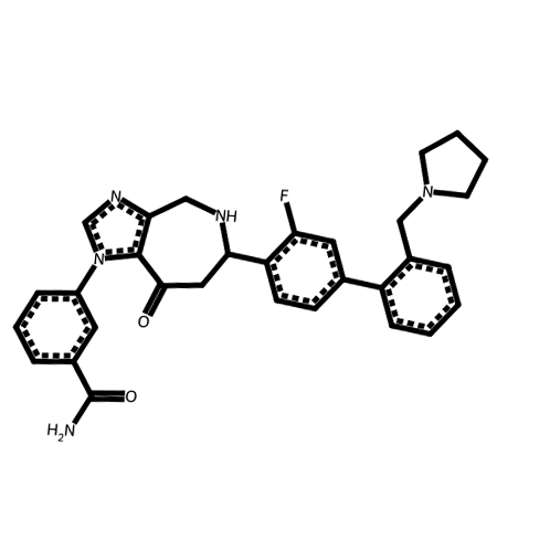 NC(=O)c1cccc(-n2cnc3c2C(=O)CC(c2ccc(-c4ccccc4CN4CCCC4)cc2F)NC3)c1